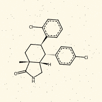 C[C@@]12CC[C@@H](c3ccccc3Cl)[C@H](c3ccc(Cl)cc3)[C@@H]1CNC2=O